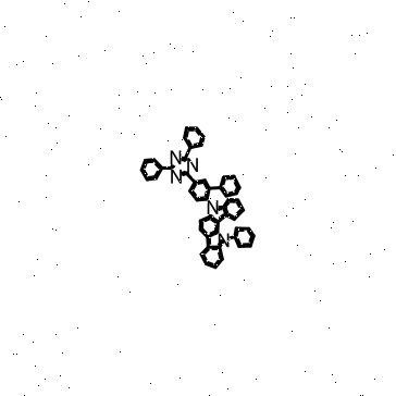 c1ccc(-c2nc(-c3ccccc3)nc(-c3ccc(-n4c5ccccc5c5c4ccc4c6ccccc6n(-c6ccccc6)c45)c(-c4ccccc4)c3)n2)cc1